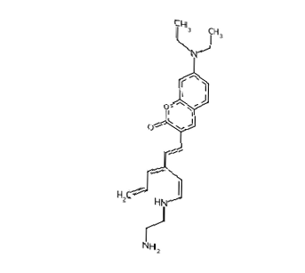 C=C/C=C(\C=C/NCCN)/C=C/c1cc2ccc(N(CC)CC)cc2oc1=O